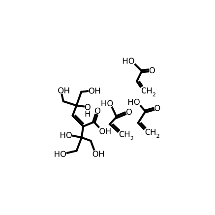 C=CC(=O)O.C=CC(=O)O.C=CC(=O)O.O=C(O)C(=CC(O)(CO)CO)C(O)(CO)CO